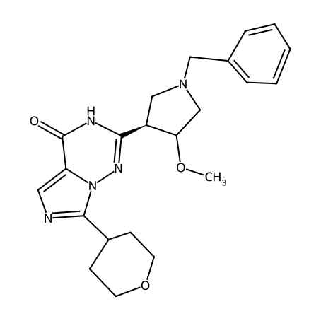 COC1CN(Cc2ccccc2)C[C@@H]1c1nn2c(C3CCOCC3)ncc2c(=O)[nH]1